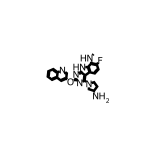 CNc1c(F)ccc2c1[nH]c1nc(Oc3cnc4ccccc4c3)nc(N3CC[C@@H](N)C3)c12